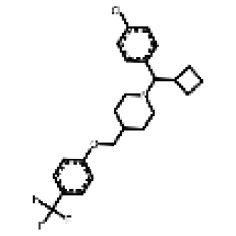 FC(F)(F)c1ccc(OCC2CCN(C(c3ccc(Cl)cc3)C3CCC3)CC2)cc1